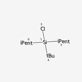 CCCC(C)[Si](Cl)(C(C)CCC)C(C)(C)C